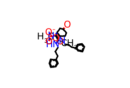 COC1(OC)C2CC(=O)CC1N(CCCc1ccccc1)C(NCCCc1ccccc1)=C2[N+](=O)[O-]